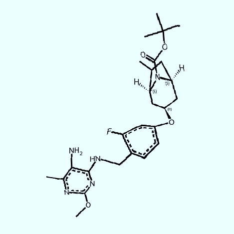 COc1nc(C)c(N)c(NCc2ccc(O[C@@H]3C[C@@H]4CC(C)[C@H](C3)N4C(=O)OC(C)(C)C)cc2F)n1